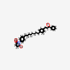 O=C(/C=C/c1ccc(CCCCCCCCc2ccc(N3C(=O)C=CC3=O)cc2)cc1)c1ccccc1